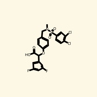 CN(Cc1ccc(OC(C(=O)O)c2cc(F)cc(F)c2)cc1)S(=O)(=O)c1ccc(Cl)c(Cl)c1